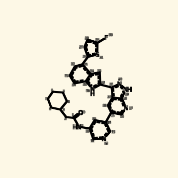 O=C(CC1CCCCC1)Nc1cncc(-c2cnc3[nH]nc(-c4cc5c(-c6ccc(F)s6)cccc5[nH]4)c3c2)c1